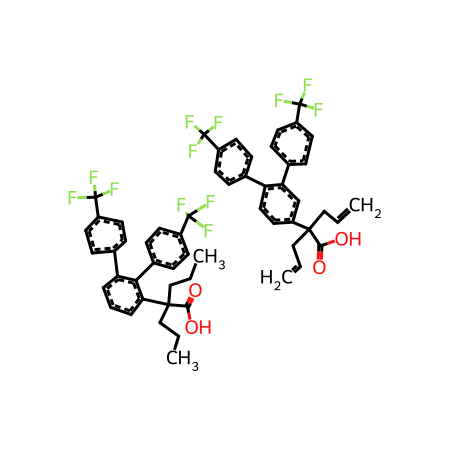 C=CCC(CC=C)(C(=O)O)c1ccc(-c2ccc(C(F)(F)F)cc2)c(-c2ccc(C(F)(F)F)cc2)c1.CCCC(CCC)(C(=O)O)c1cccc(-c2ccc(C(F)(F)F)cc2)c1-c1ccc(C(F)(F)F)cc1